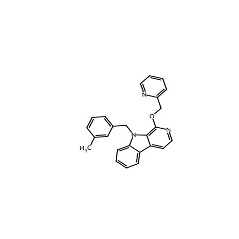 Cc1cccc(Cn2c3ccccc3c3ccnc(OCc4ccccn4)c32)c1